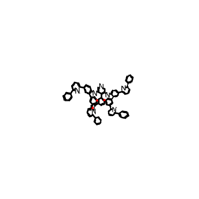 N#Cc1cccc(-c2c(-n3c4ccc(-c5cccc(-c6ccccc6)n5)cc4c4cc(-c5cccc(-c6ccccc6)n5)ccc43)cncc2-n2c3ccc(-c4cccc(-c5ccccc5)n4)cc3c3cc(-c4cccc(-c5ccccc5)n4)ccc32)c1